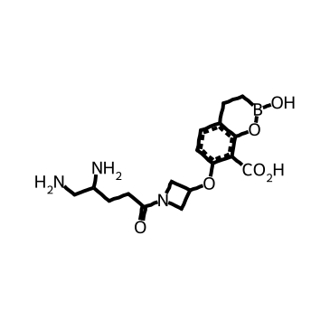 NCC(N)CCC(=O)N1CC(Oc2ccc3c(c2C(=O)O)OB(O)CC3)C1